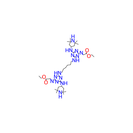 CCOC(=O)C=Nc1nc(NCCCCCCNc2nc(N=CC(=O)OCC)nc(NC3CC(C)(C)NC(C)(C)C3)n2)nc(NC2CC(C)(C)NC(C)(C)C2)n1